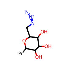 CC(C)C1OC(CN=[N+]=[N-])C(O)C(O)C1O